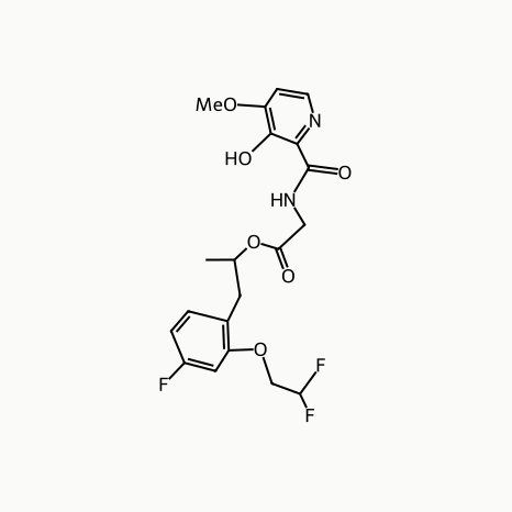 COc1ccnc(C(=O)NCC(=O)OC(C)Cc2ccc(F)cc2OCC(F)F)c1O